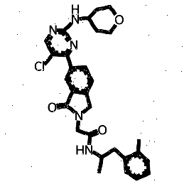 Cc1ccccc1CC(C)NC(=O)CN1Cc2ccc(-c3nc(NC4CCOCC4)ncc3Cl)cc2C1=O